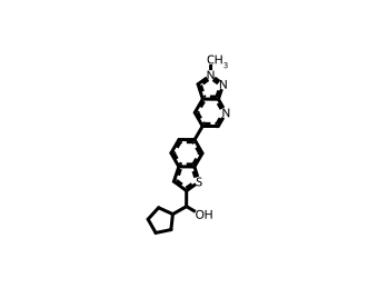 Cn1cc2cc(-c3ccc4cc(C(O)C5CCCC5)sc4c3)cnc2n1